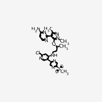 Cc1nn(C)c(O[C@@H](C)CCNc2cc(Cl)ncc2-c2cnc(S(C)(=O)=O)cn2)c1-c1nccc(N)n1